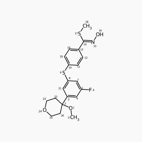 COC1(c2cc(F)cc(Sc3ccc(C(=NO)SC)cc3)c2)CCOCC1